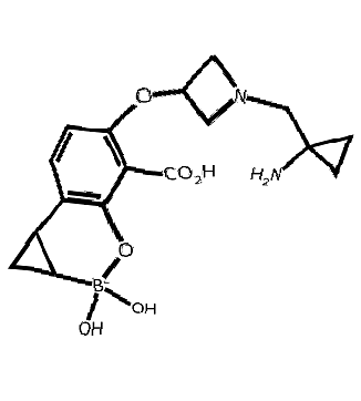 NC1(CN2CC(Oc3ccc4c(c3C(=O)O)O[B-](O)(O)C3CC43)C2)CC1